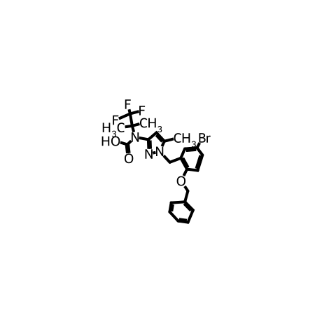 Cc1cc(N(C(=O)O)C(C)(C)C(F)(F)F)nn1Cc1cc(Br)ccc1OCc1ccccc1